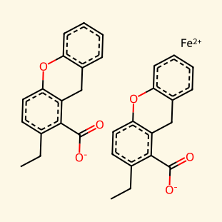 CCc1ccc2c(c1C(=O)[O-])Cc1ccccc1O2.CCc1ccc2c(c1C(=O)[O-])Cc1ccccc1O2.[Fe+2]